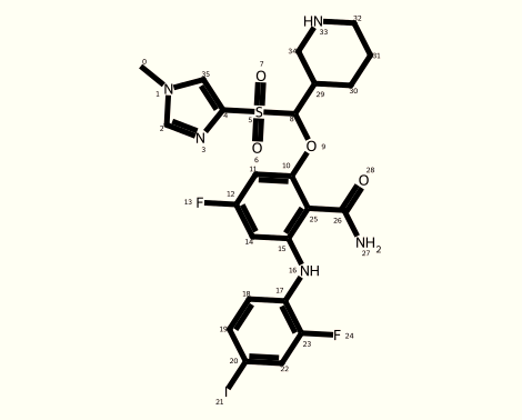 Cn1cnc(S(=O)(=O)C(Oc2cc(F)cc(Nc3ccc(I)cc3F)c2C(N)=O)C2CCCNC2)c1